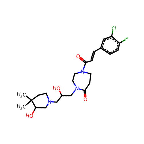 CC1(C)CCN(CC(O)CN2CCN(C(=O)C=Cc3ccc(F)c(Cl)c3)CCC2=O)CC1O